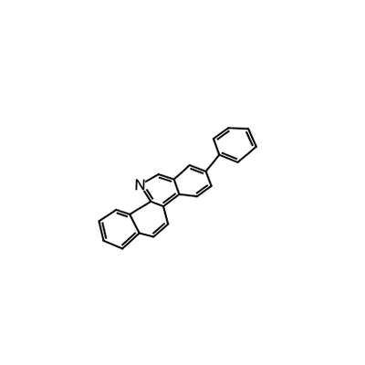 c1ccc(-c2ccc3c(cnc4c5ccccc5ccc34)c2)cc1